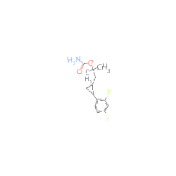 CC(C)(CC1CC1c1ccc(F)cc1F)OC(N)=O